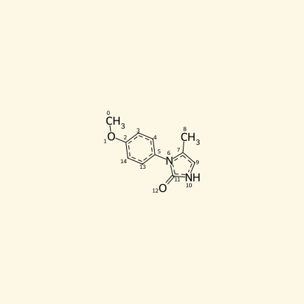 COc1ccc(-n2c(C)c[nH]c2=O)cc1